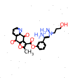 Cc1oc2c(c1C(=O)Oc1cccc(/C(N)=C/N(N)CCCO)c1)C(=O)c1ncccc1C2=O